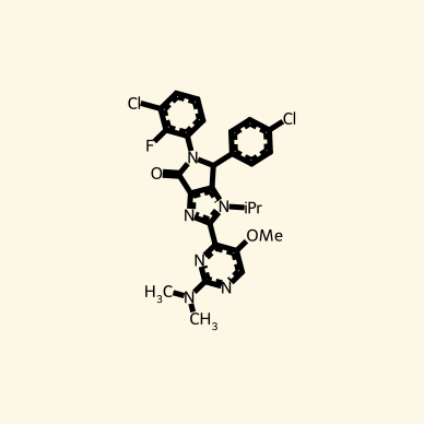 COc1cnc(N(C)C)nc1-c1nc2c(n1C(C)C)C(c1ccc(Cl)cc1)N(c1cccc(Cl)c1F)C2=O